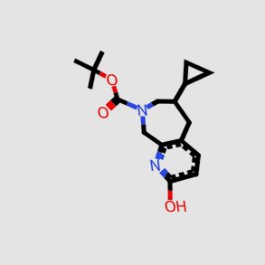 CC(C)(C)OC(=O)N1Cc2nc(O)ccc2CC(C2CC2)C1